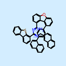 N/C(=N\C(=N/Cc1ccc2ccccc2c1)c1cccc2c1sc1ccccc12)c1cccc2oc3cccc(-c4ccc(-c5cccc6ccccc56)cc4)c3c12